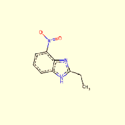 CCc1nc2c([N+](=O)[O-])cccc2[nH]1